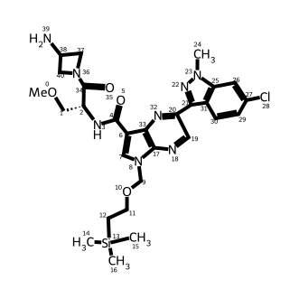 COC[C@@H](NC(=O)c1cn(COCC[Si](C)(C)C)c2ncc(-c3nn(C)c4cc(Cl)ccc34)nc12)C(=O)N1CC(N)C1